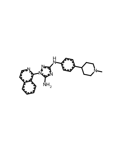 CN1CCC(c2ccc(Nc3nc(N)n(-c4nccc5ccccc45)n3)cc2)CC1